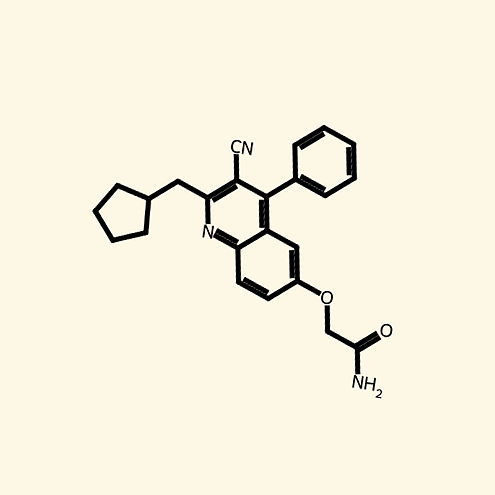 N#Cc1c(CC2CCCC2)nc2ccc(OCC(N)=O)cc2c1-c1ccccc1